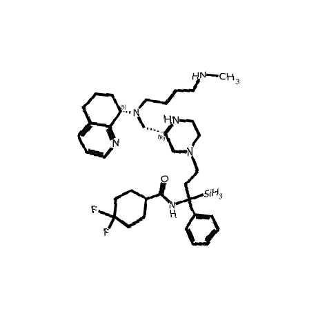 CNCCCCN(C[C@H]1CN(CCC([SiH3])(NC(=O)C2CCC(F)(F)CC2)c2ccccc2)CCN1)[C@H]1CCCc2cccnc21